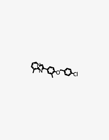 Cc1cc(-c2cn3cccc(C)c3n2)ccc1OCc1ccc(Cl)cc1